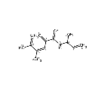 C=C[C](O)NC(=O)C(=C)C=C(C)C(=O)O